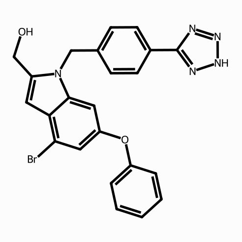 OCc1cc2c(Br)cc(Oc3ccccc3)cc2n1Cc1ccc(-c2nn[nH]n2)cc1